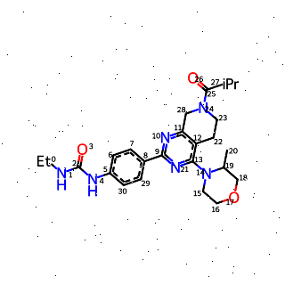 CCNC(=O)Nc1ccc(-c2nc3c(c(N4CCOCC4C)n2)CCN(C(=O)C(C)C)C3)cc1